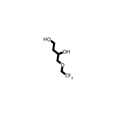 OCCC(O)COCC(F)(F)F